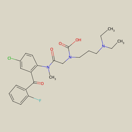 CCN(CC)CCCN(CC(=O)N(C)c1ccc(Cl)cc1C(=O)c1ccccc1F)C(=O)O